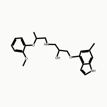 COc1ccccc1OC(C)CNCC(O)COc1cc(C)cc2[nH]ccc12